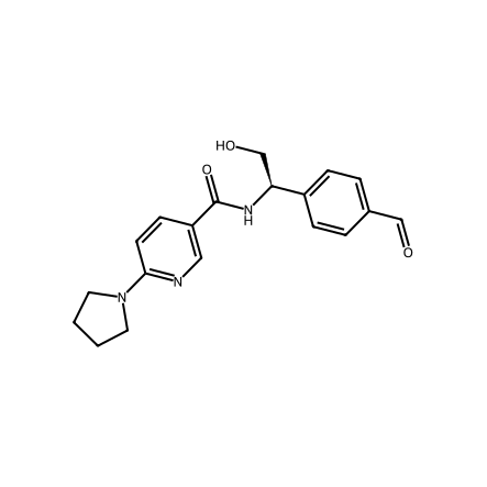 O=Cc1ccc([C@H](CO)NC(=O)c2ccc(N3CCCC3)nc2)cc1